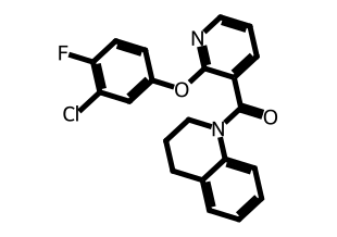 O=C(c1cccnc1Oc1ccc(F)c(Cl)c1)N1CCCc2ccccc21